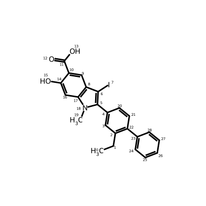 CCc1cc(-c2c(I)c3cc(C(=O)O)c(O)cc3n2C)ccc1-c1ccccc1